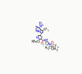 COc1ncc(-c2cc(C(F)(F)F)c3c(N)ncnn23)cc1C(=O)N[C@@H]1CN(C(=O)C(C)(C)C(F)(F)F)C[C@@H]1F